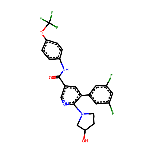 O=C(Nc1ccc(OC(F)(F)F)cc1)c1cnc(N2CCC(O)C2)c(-c2cc(F)cc(F)c2)c1